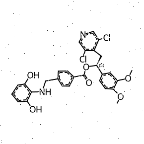 COc1ccc([C@H](Cc2c(Cl)cncc2Cl)OC(=O)c2ccc(CNc3c(O)cccc3O)cc2)cc1OC